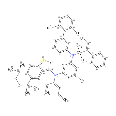 C=C/C=C(\C=C)N(c1cc(C(C)C)cc(N(c2cccc(-c3c(C)cccc3C)c2)C(C)(C)/C(=C\C)c2ccccc2)c1)c1csc2cc3c(cc12)C(C)(C)CCC3(C)C